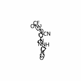 N#Cc1cc(-c2ccnc(Nc3ccc(N4CCOCC4)cc3)n2)ccc1OC1CCN(C(=O)C(F)(F)F)CC1